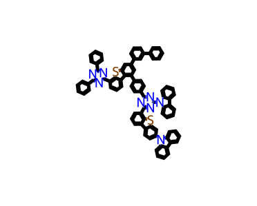 c1ccc(-c2cccc(-c3cc(-c4ccc(-c5nc(-c6cccc7c6sc6cc(-n8c9ccccc9c9ccccc98)ccc67)nc(-n6c7ccccc7c7ccccc76)n5)cc4)c4c(c3)sc3c(-c5nc(-c6ccccc6)nc(-c6ccccc6)n5)cccc34)c2)cc1